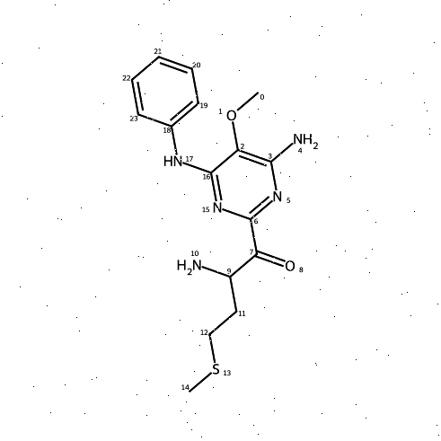 COc1c(N)nc(C(=O)C(N)CCSC)nc1Nc1ccccc1